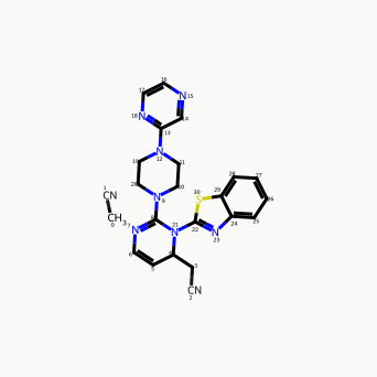 CC#N.N#CCC1C=CN=C(N2CCN(c3cnccn3)CC2)N1c1nc2ccccc2s1